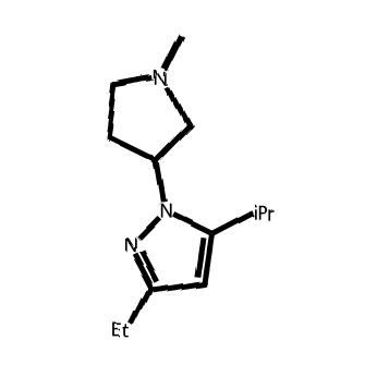 CCc1cc(C(C)C)n(C2CCN(C)C2)n1